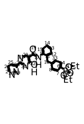 CCOP(=O)(OCC)c1ccc(Cc2ccccc2NC(=O)c2cnc(-c3cccnn3)nc2O)cc1